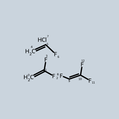 C=C(F)F.C=CF.Cl.FC=C(F)F